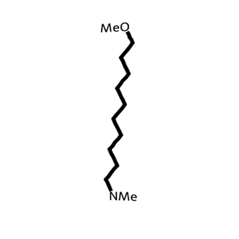 CNCCCCCCCCCCOC